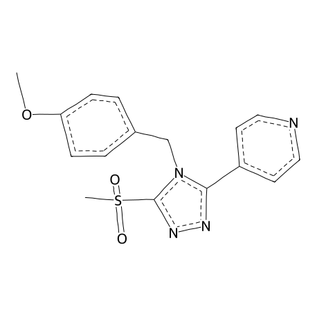 COc1ccc(Cn2c(-c3ccncc3)nnc2S(C)(=O)=O)cc1